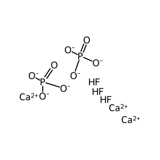 F.F.F.O=P([O-])([O-])[O-].O=P([O-])([O-])[O-].[Ca+2].[Ca+2].[Ca+2]